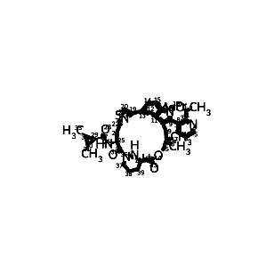 CO[C@@H](C)c1ncccc1-c1c2c3cc(ccc3n1C(C)C)-c1csc(n1)C[C@H](NC(=O)[C@H]1[C@H](C)[C@@H]1C)C(=O)N1CCC[C@H](N1)C(=O)OCC(C)(C)C2